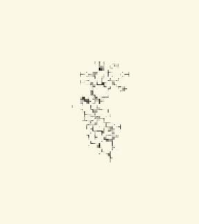 C[C@@H]1C[C@H]2[C@@H]3CCC4=CC(=O)C=C[C@]4(C)[C@@]3(F)[C@@H](O)C[C@]2(C)[C@@]1(O[C@@H]1O[C@H](CO)[C@H](O)[C@H](O)[C@H]1O)C(=O)CO[C@@H]1O[C@H](CO)[C@H](O)[C@H](O)[C@H]1O